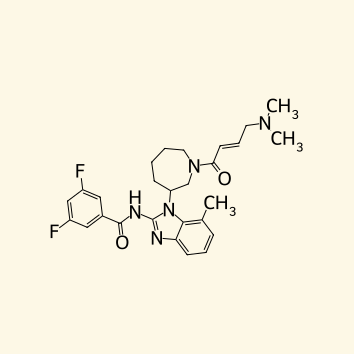 Cc1cccc2nc(NC(=O)c3cc(F)cc(F)c3)n(C3CCCCN(C(=O)C=CCN(C)C)C3)c12